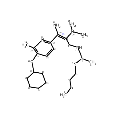 CCCCSN(C)NC/C(=C(/N)c1ccc(OC2CCCCC2)c(C)n1)N(C)N